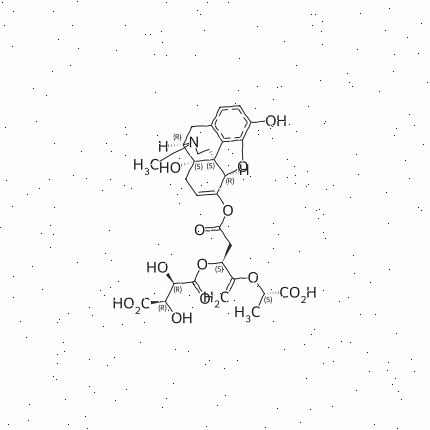 C=C(O[C@@H](C)C(=O)O)[C@H](CC(=O)OC1=CC[C@@]2(O)[C@H]3Cc4ccc(O)c5c4[C@@]2(CCN3C)[C@H]1O5)OC(=O)[C@H](O)[C@@H](O)C(=O)O